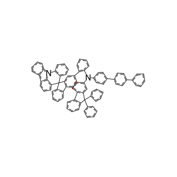 c1ccc(-c2ccc(-c3ccc(N(c4ccc5c(c4)C(c4ccccc4)(c4ccccc4)c4ccccc4-5)c4ccccc4-c4ccc5c(c4)C4(c6ccccc6-5)c5ccccc5-n5c6ccccc6c6cccc4c65)cc3)cc2)cc1